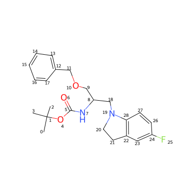 CC(C)(C)OC(=O)NC(COCc1ccccc1)CN1CCc2cc(F)ccc21